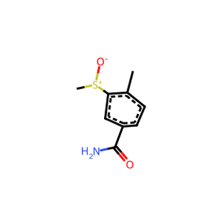 Cc1ccc(C(N)=O)cc1[S+](C)[O-]